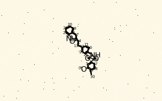 COc1cc(S(=O)(=O)Nc2ccc(CCC(=O)Cc3ccccc3N)cc2)ccc1C